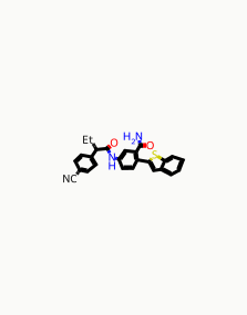 CCC(C(=O)Nc1ccc(-c2cc3ccccc3s2)c(C(N)=O)c1)c1ccc(C#N)cc1